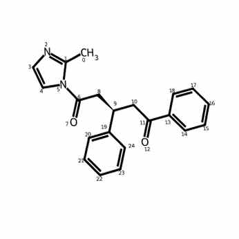 Cc1nccn1C(=O)C[C@@H](CC(=O)c1ccccc1)c1ccccc1